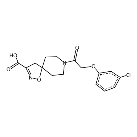 O=C(O)C1=NOC2(CCN(C(=O)COc3cccc(Cl)c3)CC2)C1